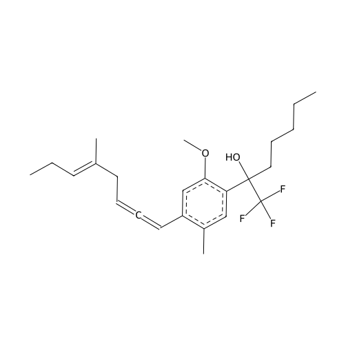 CC/C=C(\C)CC=C=Cc1cc(OC)c(C(O)(CCCCC)C(F)(F)F)cc1C